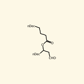 CCCCCCCCCCCCCC(=O)OC(C[C]=O)CCCCCCCCCC